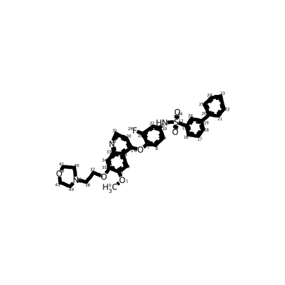 COc1cc2c(Oc3ccc(NS(=O)(=O)c4cccc(-c5ccccc5)c4)cc3F)ccnc2cc1OCCN1CCOCC1